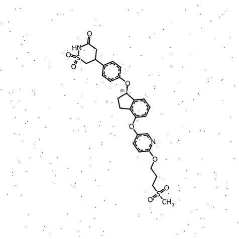 CS(=O)(=O)CCCOc1ccc(Oc2cccc3c2CC[C@H]3Oc2ccc(C3CC(=O)NS(=O)(=O)C3)cc2)cn1